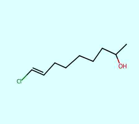 CC(O)CCCCCC=CCl